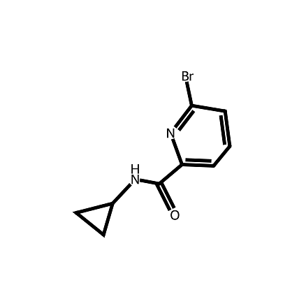 O=C(NC1CC1)c1cccc(Br)n1